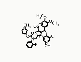 COc1ccc([C@H](Cc2c(Cl)c[n+](O)cc2Cl)c2cc(CN(C(=O)O[C@@H]3CCN(C)C3)c3ccccc3F)sc2C(=O)[O-])cc1OC